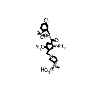 CCS(=O)(=O)c1ccc(Cl)cc1CNC(=O)c1cc(C(F)(F)F)c(CN2CC[C@@H](N(C)C(=O)O)C2)cc1N